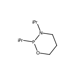 CC(C)N1CCCOP1C(C)C